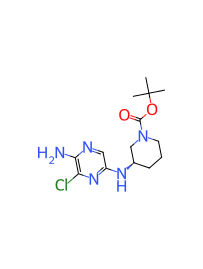 CC(C)(C)OC(=O)N1CCC[C@@H](Nc2cnc(N)c(Cl)n2)C1